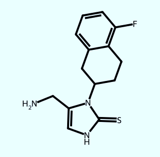 NCc1c[nH]c(=S)n1C1CCc2c(F)cccc2C1